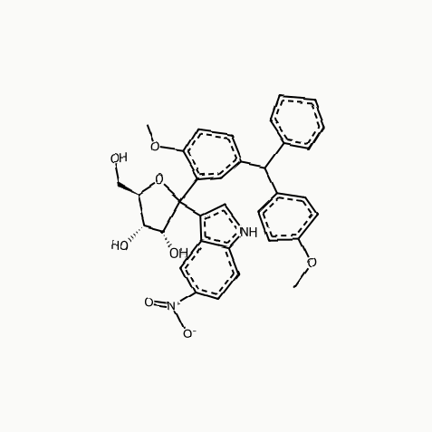 COc1ccc(C(c2ccccc2)c2ccc(OC)c(C3(c4c[nH]c5ccc([N+](=O)[O-])cc45)O[C@H](CO)[C@@H](O)[C@H]3O)c2)cc1